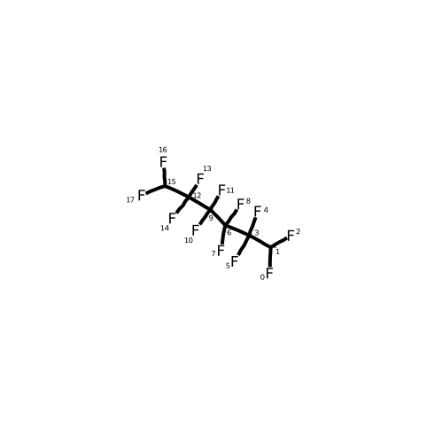 F[C](F)C(F)(F)C(F)(F)C(F)(F)C(F)(F)C(F)F